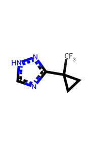 FC(F)(F)C1(c2nc[nH]n2)CC1